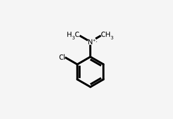 C[N+](C)c1ccccc1Cl